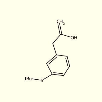 C=C(O)Cc1cccc(SC(C)(C)C)c1